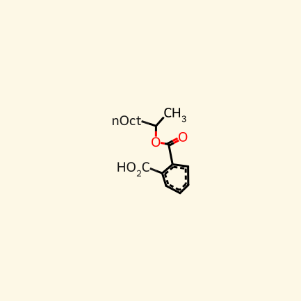 CCCCCCCCC(C)OC(=O)c1ccccc1C(=O)O